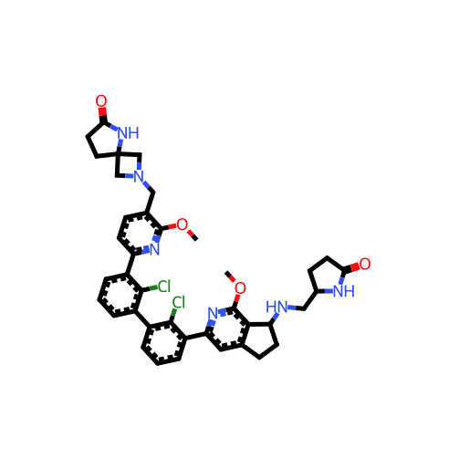 COc1nc(-c2cccc(-c3cccc(-c4cc5c(c(OC)n4)C(NCC4CCC(=O)N4)CC5)c3Cl)c2Cl)ccc1CN1CC2(CCC(=O)N2)C1